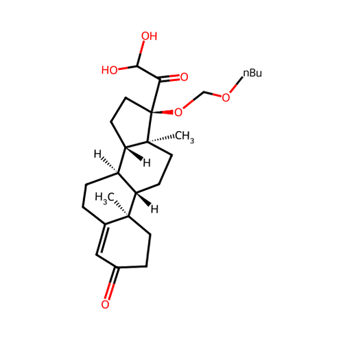 CCCCOCO[C@]1(C(=O)C(O)O)CC[C@H]2[C@@H]3CCC4=CC(=O)CC[C@]4(C)[C@H]3CC[C@@]21C